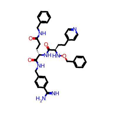 N=C(N)c1ccc(CNC(=O)[C@H](CCC(=O)NCc2ccccc2)NC(=O)[C@@H](CCc2ccncc2)NOCc2ccccc2)cc1